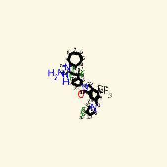 CN(/C1=C/CCCCCC1)C(NN)C(F)(F)[C@](C)(F)c1cccc(N2Cc3c(cc(CN4CCC(F)(F)C4)cc3C(F)(F)F)C2=O)c1